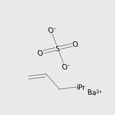 C=CCC(C)C.O=S(=O)([O-])[O-].[Ba+2]